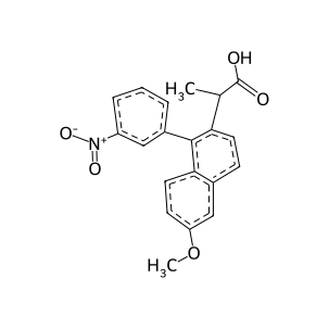 COc1ccc2c(-c3cccc([N+](=O)[O-])c3)c(C(C)C(=O)O)ccc2c1